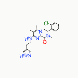 Cc1nc(C(=O)N(C)C(C)c2ccccc2Cl)nc(NCCc2cn[nH]c2)c1C